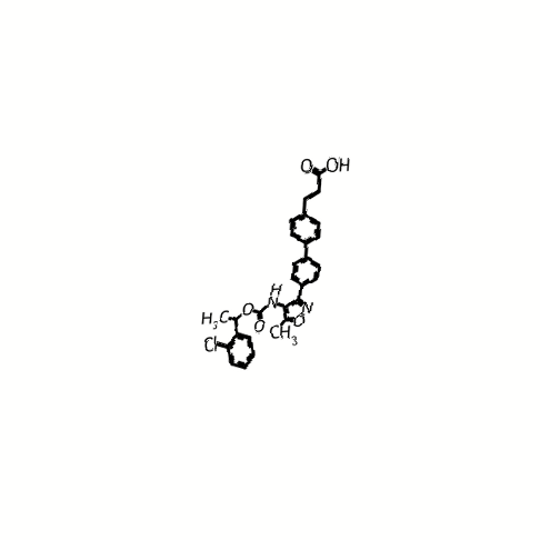 Cc1onc(-c2ccc(-c3ccc(CCC(=O)O)cc3)cc2)c1NC(=O)OC(C)c1ccccc1Cl